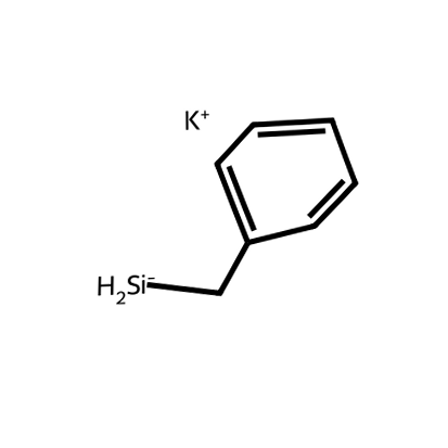 [K+].[SiH2-]Cc1ccccc1